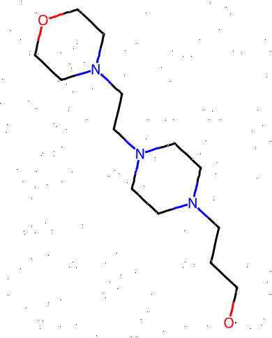 [O]CCCN1CCN(CCN2CCOCC2)CC1